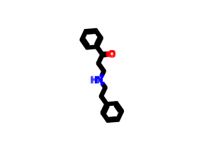 O=C(CCNCCc1ccccc1)c1ccccc1